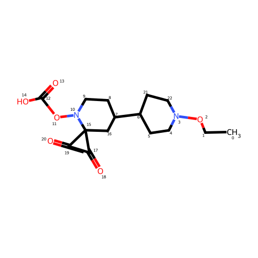 CCON1CCC(C2CCN(OC(=O)O)C3(C2)C(=O)C3=O)CC1